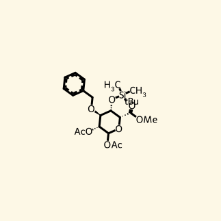 COC(=O)[C@@H]1OC(OC(C)=O)[C@H](OC(C)=O)[C@@H](OCc2ccccc2)[C@@H]1O[Si](C)(C)C(C)(C)C